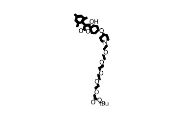 Cc1cc(C)c(C2=C(O)C3(CCC(OC4CCN(CCOCCOCCOCCOCCOCC(=O)OC(C)(C)C)CC4)CC3)OC2=O)c(C)c1